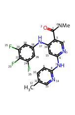 CNC(=O)c1cnc(Nc2ccc(C)cn2)cc1Nc1cc(F)c(F)c(F)c1